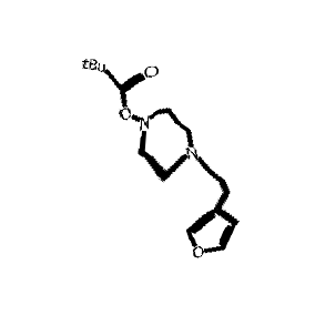 CC(C)(C)C(=O)ON1CCN(Cc2ccoc2)CC1